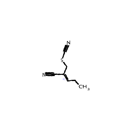 CC/C=C(/C#N)CSC#N